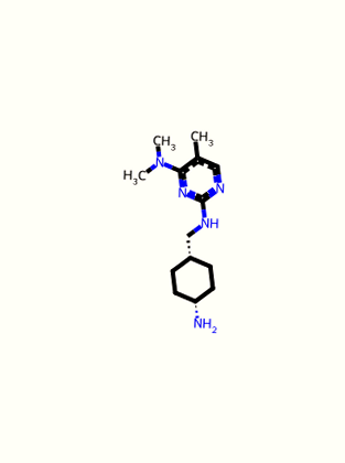 Cc1cnc(NC[C@H]2CC[C@@H](N)CC2)nc1N(C)C